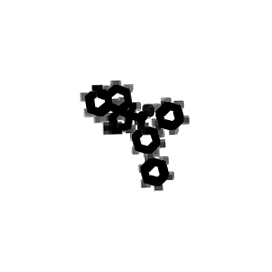 C[C@@]1(C(=O)N2CC[C@@H](c3ccccc3)C[C@H]2c2ccccc2)CNC[C@@]12CCCc1ncccc12